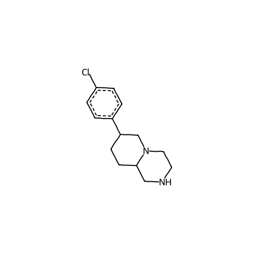 Clc1ccc(C2CCC3CNCCN3C2)cc1